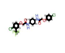 O=C(COc1ccc(Cl)cc1)N[C@H]1CC[C@H](NC(=O)COc2ccc(Cl)c(C(F)(F)F)c2)CC1